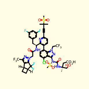 CC(C)(C#Cc1ccc(-c2ccc(Cl)c3c(N(C(=O)N[C@](C)(CO)CC(=O)O)S(C)(=O)=O)nn(CC(F)(F)F)c23)c([C@H](Cc2cc(F)cc(F)c2)NC(=O)Cn2nc(C(F)(F)F)c3c2C(F)(F)[C@@H]2CC[C@H]32)n1)S(C)(=O)=O